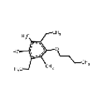 CCCCOc1c(C)c(CC)c(O)c(C)c1CC